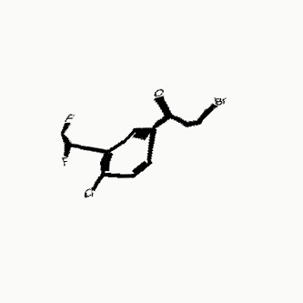 O=C(CBr)c1ccc(Cl)c(C(F)F)c1